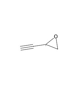 C#C[C]1CO1